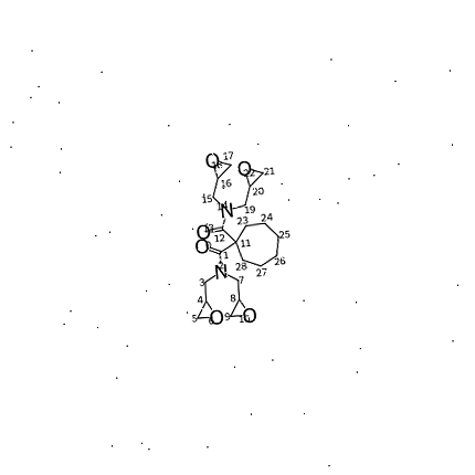 O=C(N(CC1CO1)CC1CO1)C1(C(=O)N(CC2CO2)CC2CO2)CCCCCC1